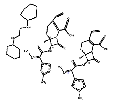 C1CCC(NCCNC2CCCCC2)CC1.C=CC1=C(C(=O)O)N2C(=O)[C@@H](NC(=O)/C(=N\O)c3csc(N)n3)[C@@H]2SC1.C=CC1=C(C(=O)O)N2C(=O)[C@@H](NC(=O)/C(=N\O)c3csc(N)n3)[C@@H]2SC1